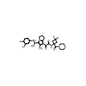 Cc1c(C(=O)C(=O)NC2(C(=O)N3CCOCC3)CC(F)(F)C2)c2n(c1C(O)Nc1ccc(F)c(Cl)c1)CCC2